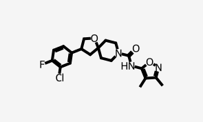 Cc1noc(NC(=O)N2CCC3(CC2)CC(c2ccc(F)c(Cl)c2)CO3)c1C